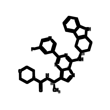 C[C@H](NC(=O)N1CCOCC1)c1cnn2c(N[C@@H]3CCc4[nH]c5ccccc5c4C3)nc(-c3cncc(F)c3)nc12